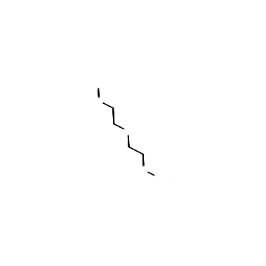 COCCOCCOC.O